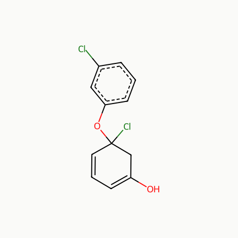 OC1=CC=CC(Cl)(Oc2cccc(Cl)c2)C1